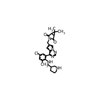 Cc1cc(Cl)cc(-c2ncnn3cc(CN4C(=O)C5C(C4=O)C5(C)C)cc23)c1NCC1CCCNC1